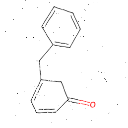 O=C1C=CC=C([CH]c2ccccc2)C1